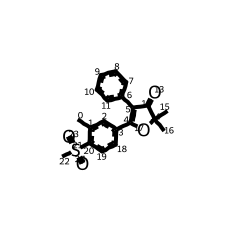 Cc1cc(C2=C(c3ccccc3)C(=O)C(C)(C)O2)ccc1S(C)(=O)=O